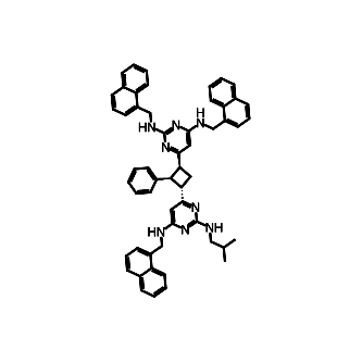 CC(C)CNc1nc(NCc2cccc3ccccc23)cc([C@H]2C[C@H](c3cc(NCc4cccc5ccccc45)nc(NCc4cccc5ccccc45)n3)[C@@H]2c2ccccc2)n1